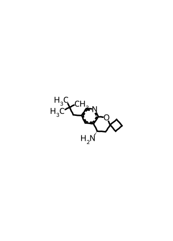 CC(C)(C)Cc1cnc2c(c1)[C@@H](N)CC1(CCC1)O2